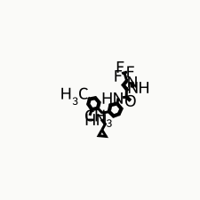 Cc1ccc(C(NCC2CC2)c2cccc(NC(=O)c3cc(C(F)(F)F)n[nH]3)c2)c(C)c1